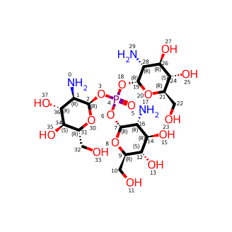 N[C@H]1[C@@H](OP(=O)(O[C@H]2O[C@H](CO)[C@@H](O)[C@H](O)[C@H]2N)O[C@H]2O[C@H](CO)[C@@H](O)[C@H](O)[C@H]2N)O[C@H](CO)[C@@H](O)[C@@H]1O